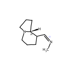 C/N=C\C1CCCN2CCC[C@H]12